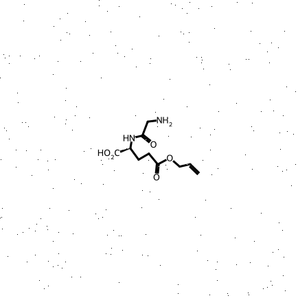 C=CCOC(=O)CC[C@H](NC(=O)CN)C(=O)O